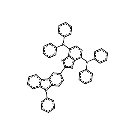 c1ccc(N(c2ccccc2)c2ccc(N(c3ccccc3)c3ccccc3)c3sc(-c4ccc5c(c4)c4ccccc4n5-c4ccccc4)nc23)cc1